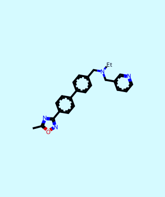 CCN(Cc1ccc(-c2ccc(-c3noc(C)n3)cc2)cc1)Cc1cccnc1